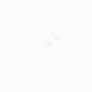 COc1ccc(-c2nnc(SCc3ccccc3)n2-c2ccccc2)cc1